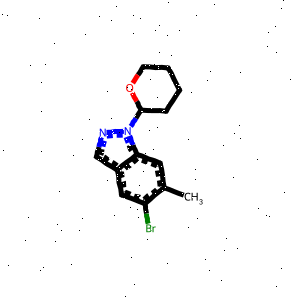 Cc1cc2c(cnn2C2CCCCO2)cc1Br